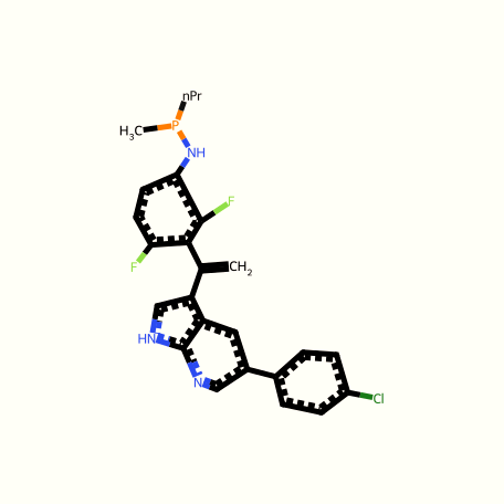 C=C(c1c(F)ccc(NP(C)CCC)c1F)c1c[nH]c2ncc(-c3ccc(Cl)cc3)cc12